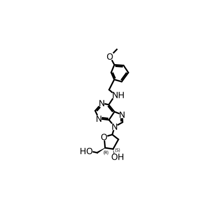 COc1cccc(CNc2ncnc3c2ncn3C2C[C@H](O)[C@@H](CO)O2)c1